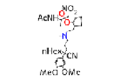 CCCCCCC(C#N)(CCCN(C)CCc1ccccc1OC(C)(O[N+](=O)[O-])C(C)NC(C)=O)c1ccc(OC)c(OC)c1